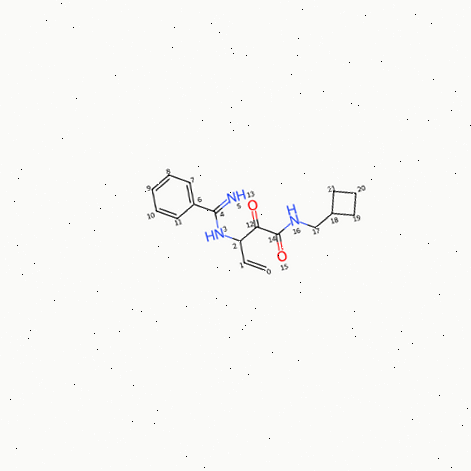 C=CC(NC(=N)c1ccccc1)C(=O)C(=O)NCC1CCC1